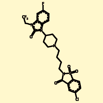 O=C1c2cc(Cl)ccc2S(=O)(=O)N1CCCCN1CCC(n2c(=O)n(CC(F)(F)F)c3cc(F)ccc32)CC1